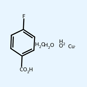 O.O.O.O=C(O)c1ccc(F)cc1.[Cu]